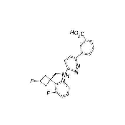 O=C(O)c1cccc(-c2ccc(NC[C@]3(c4ncccc4F)C[C@H](F)C3)nn2)c1